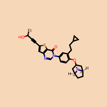 CCC(O)C#Cc1cc2ncn(-c3ccc(OC4C[C@H]5CC[C@@H](C4)N5C)c(CCC4CC4)c3)c(=O)c2s1